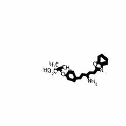 CC(C)(Oc1ccc(CCC(N)CCc2nc3ccccc3o2)cc1)C(=O)O